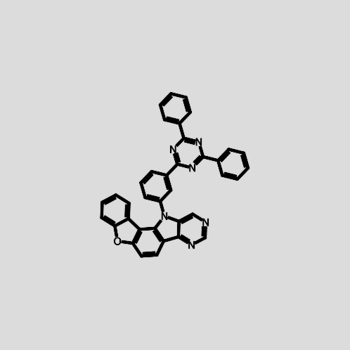 c1ccc(-c2nc(-c3ccccc3)nc(-c3cccc(-n4c5cncnc5c5ccc6oc7ccccc7c6c54)c3)n2)cc1